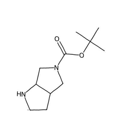 CC(C)(C)OC(=O)N1CC2C[CH]NC2C1